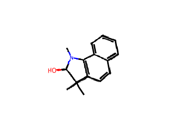 CN1c2c(ccc3ccccc23)C(C)(C)C1O